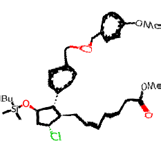 COC(=O)CCC/C=C\C[C@@H]1[C@@H](c2ccc(COCc3ccc(OC)cc3)cc2)[C@H](O[Si](C)(C)C(C)(C)C)C[C@H]1Cl